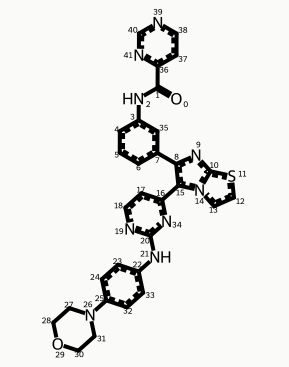 O=C(Nc1cccc(-c2nc3sccn3c2-c2ccnc(Nc3ccc(N4CCOCC4)cc3)n2)c1)c1ccncn1